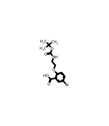 CC(C)(C)OC(=O)NCCOc1ccc(Br)cc1C(=O)O